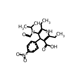 CCC1=C(C(=O)O)C(c2ccc([N+](=O)[O-])cc2)C(N(C=O)C(C)C)=C(CC)N1